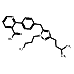 CCCCn1nc(CCC(C)C)nc1Cc1ccc(-c2ncccc2C(=O)O)cc1